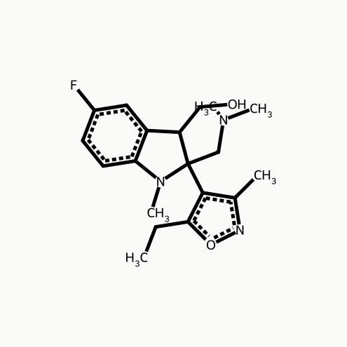 CCc1onc(C)c1C1(CN(C)C)C(CO)c2cc(F)ccc2N1C